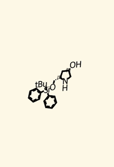 CC(C)(C)[Si](OC[C@@H]1C[C@@H](O)CN1)(c1ccccc1)c1ccccc1